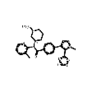 Cc1cccnc1N(C(=O)c1ccc(-c2cnn(C)c2-c2nn[nH]n2)cc1)[C@@H]1CCCN(C(=O)O)C1